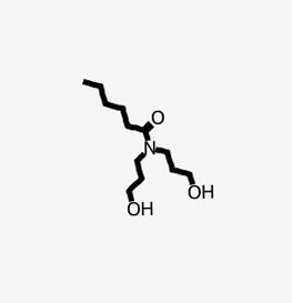 CCCCCC(=O)N(CCCO)CCCO